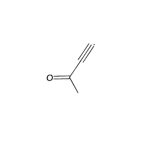 [C]#CC(C)=O